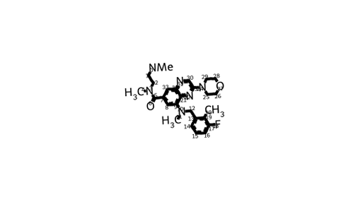 CNCCN(C)C(=O)c1cc(N(C)Cc2cccc(F)c2C)c2nc(N3CCOCC3)cnc2c1